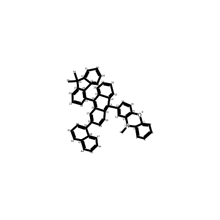 CN1c2ccccc2Oc2ccc(-c3c4ccccc4c(-c4cccc5c4-c4ccccc4C5(C)C)c4cc(-c5cccc6ccccc56)ccc34)cc21